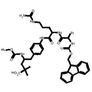 CC(C)C(NC(=O)OCC1c2ccccc2-c2ccccc21)C(=O)NC(CCCNC(N)=O)C(=O)Nc1ccc(CC(CC(C)(C)C(=O)O)NC(=O)OC(C)(C)C)cc1